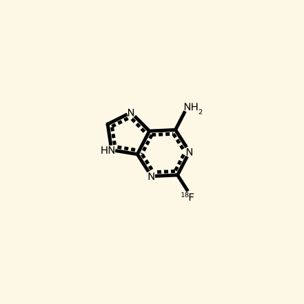 Nc1nc([18F])nc2[nH]cnc12